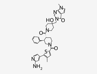 Cc1cc(C(=O)N2CC[C@@H](C(=O)N3CCC(O)(Cn4cnc5c(ccn5C)c4=O)CC3)[C@H](c3ccccc3)C2)sc1-c1ccnc(N)c1